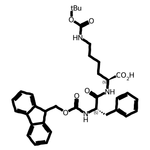 CC(C)(C)OC(=O)NCCCC[C@H](NC(=O)[C@H](Cc1ccccc1)NC(=O)OCC1c2ccccc2-c2ccccc21)C(=O)O